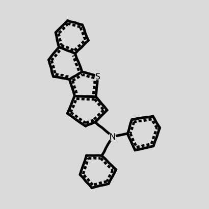 c1ccc(N(c2ccccc2)c2ccc3c(c2)sc2c4ccccc4ccc32)cc1